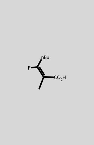 CCCC/C(F)=C(/C)C(=O)O